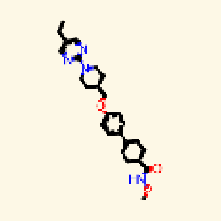 CCc1cnc(N2CCC(COc3ccc(C4=CCC(C(=O)NOC)CC4)cc3)CC2)nc1